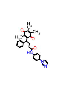 CC1=C(C)C(=O)C(C(CCC(=O)Nc2ccc(-n3ccnc3)cc2)c2ccccc2)=C(C)C1=O